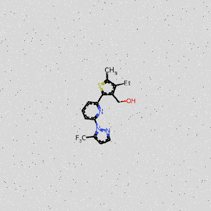 CCc1c(C)sc(-c2cccc(-n3nccc3C(F)(F)F)n2)c1CO